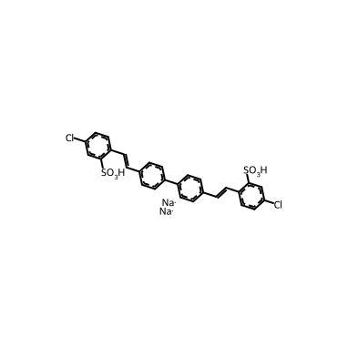 O=S(=O)(O)c1cc(Cl)ccc1C=Cc1ccc(-c2ccc(C=Cc3ccc(Cl)cc3S(=O)(=O)O)cc2)cc1.[Na].[Na]